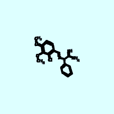 COc1ccc(/C=N/N(C(=N)N)c2ccccc2)c(Cl)c1OC